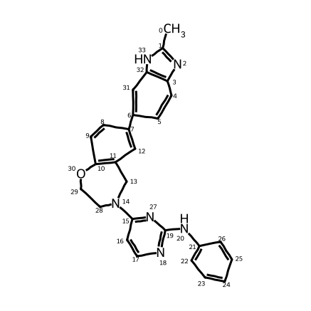 Cc1nc2ccc(-c3ccc4c(c3)CN(c3ccnc(Nc5ccccc5)n3)CCO4)cc2[nH]1